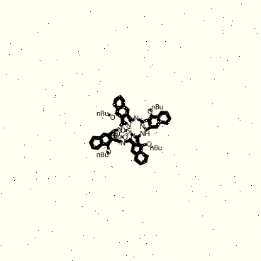 CCCCOc1c2c(cc3ccccc13)C1N=C2/N=c2/c3cc4ccccc4c(OCCCC)c3/c3n2[Si](OCCCC)(OCCCC)n2c(c4cc5ccccc5c(OCCCC)c4c2N1)/N=C1\NC(/N=3)c2cc3ccccc3c(OCCCC)c21